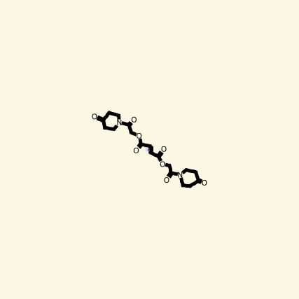 O=C1CCN(C(=O)COC(=O)/C=C/C(=O)OCC(=O)N2CCC(=O)CC2)CC1